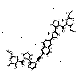 CCC(C)C(NC(=O)OC)C(=O)N1CCCC1c1ncc(-c2ccc3cc(C#Cn4ccnc4C4CCCN4C(=O)C(NC(=O)OC)C(C)CC)ccc3c2)[nH]1